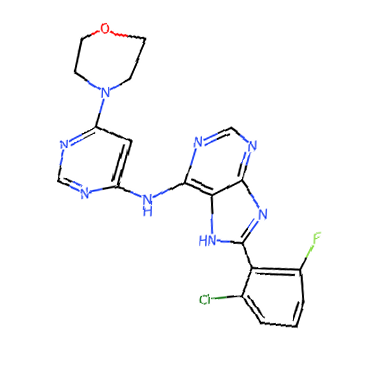 Fc1cccc(Cl)c1-c1nc2ncnc(Nc3cc(N4CCOCC4)ncn3)c2[nH]1